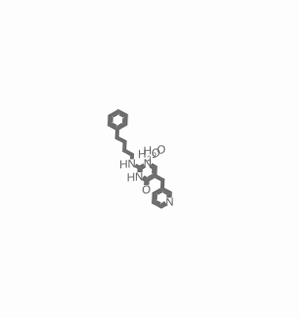 O.O.O=c1[nH]c(NCCCCc2ccccc2)ncc1Cc1cccnc1